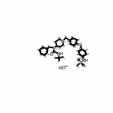 CC(C)(C)NC(=O)N(Cc1ccccc1)C1CCN(Cc2ccc(Oc3ccc(NS(C)(=O)=O)cc3)cc2)CC1.Cl